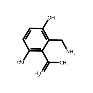 C=C(C)c1c(C(C)CC)ccc(O)c1CN